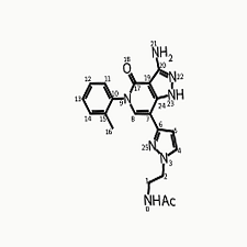 CC(=O)NCCn1ccc(-c2cn(-c3ccccc3C)c(=O)c3c(N)n[nH]c23)n1